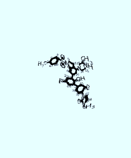 Cc1ccc(S(=O)(=O)n2ccc3c(N4CCN[C@H](C)C4)cc(-c4cc(F)cc(-c5ccc(-n6ccn(C)c6=O)c(Cl)c5)c4O)cc32)cc1